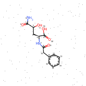 NC(=O)C(O)C[C@H](NC(=O)Cc1ccccc1)C(=O)O